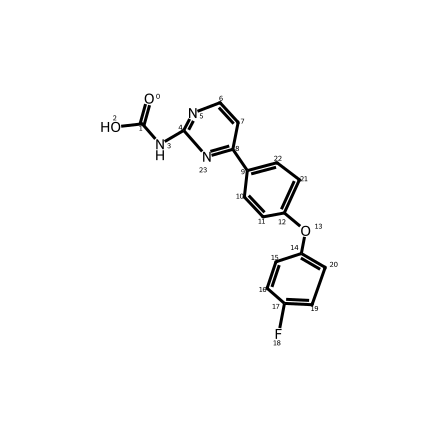 O=C(O)Nc1nccc(-c2ccc(Oc3ccc(F)cc3)cc2)n1